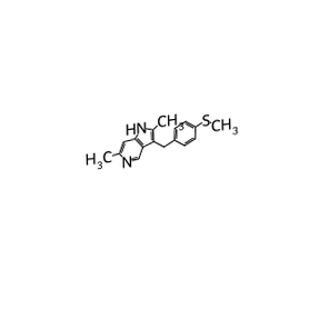 CSc1ccc(Cc2c(C)[nH]c3cc(C)ncc23)cc1